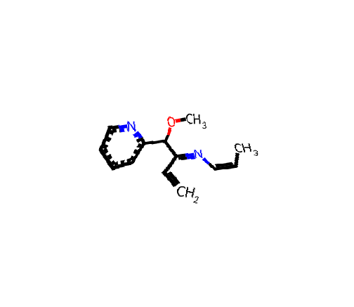 C=C/C(=N\C=C/C)C(OC)c1ccccn1